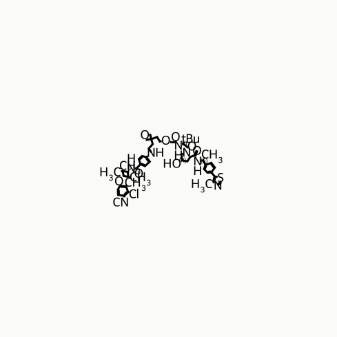 Cc1ncsc1-c1ccc([C@H](C)NC(=O)C2C[C@@H](O)CN2C(=O)[C@@H](NC(=O)COCCC2(CCNc3ccc(C(=O)N[C@H]4C(C)(C)[C@H](Oc5ccc(C#N)c(Cl)c5)C4(C)C)cc3)COC2)C(C)(C)C)cc1